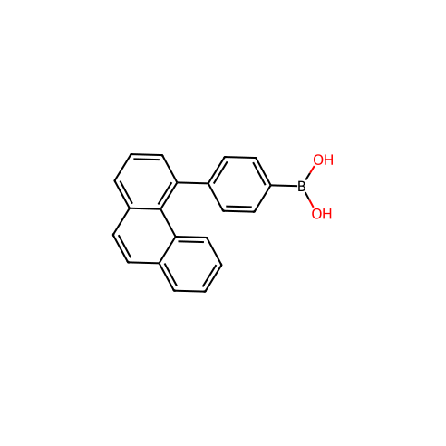 OB(O)c1ccc(-c2cccc3ccc4ccccc4c23)cc1